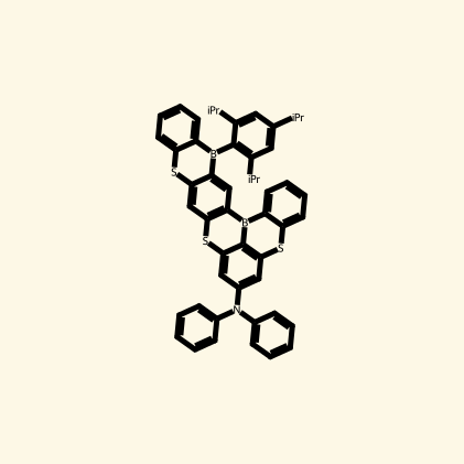 CC(C)c1cc(C(C)C)c(B2c3ccccc3Sc3cc4c(cc32)B2c3ccccc3Sc3cc(N(c5ccccc5)c5ccccc5)cc(c32)S4)c(C(C)C)c1